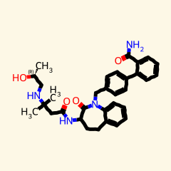 C[C@@H](O)CNC(C)(C)CC(=O)NC1CCc2ccccc2N(Cc2ccc(-c3ccccc3C(N)=O)cc2)C1=O